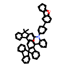 CC1(C)C2=C(CCC(N(c3ccc(-c4ccc5oc6ccccc6c5c4)cc3)c3ccccc3C3=C=C=CC4=C3c3ccccc3C43c4ccccc4-c4ccccc43)=C2)c2ccccc21